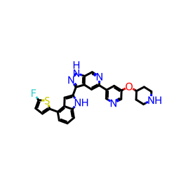 Fc1ccc(-c2cccc3[nH]c(-c4n[nH]c5cnc(-c6cncc(OC7CCNCC7)c6)cc45)cc23)s1